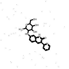 CC1OC(CO)C(O)C(O)C1Nc1ccc2cc(-c3ccccn3)c(=O)[nH]c2c1